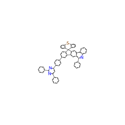 c1ccc(-c2cc(-c3ccc(-c4ccc5c(c4)-c4cc6c(-c7ccccc7)nc7ccccc7c6cc4C54c5ccccc5Sc5ccccc54)cc3)nc(-c3ccccc3)n2)cc1